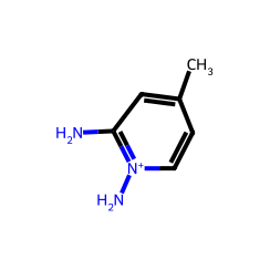 Cc1cc[n+](N)c(N)c1